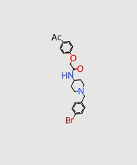 CC(=O)c1ccc(OCC(=O)NC2CCN(Cc3ccc(Br)cc3)CC2)cc1